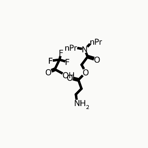 CCCN(CCC)C(=O)COC(=O)CCN.O=C(O)C(F)(F)F